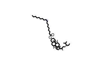 CCCCCCCC/C=C\CCCCCCCC(=O)OC1CC[C@@]2(C)C(CC[C@H]3[C@@H]4CC[C@H]([C@H](C)CC[C@@H](CC)C(C)C)[C@@]4(C)CC[C@@H]32)C1